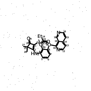 CCCCCCC1=C(Nc2cccc(Oc3nccc4ccncc34)c2OC(=O)CC)C(C)(C)C1=O